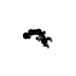 Cc1cc(N)nc(C)c1CNC(=O)c1ccc2c(c1)c1oc2c2ccc(-c3ccccc3F)cc21